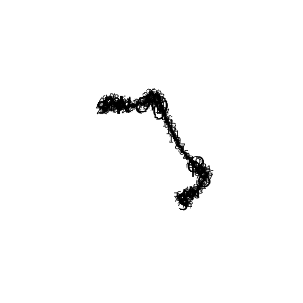 O=C(CCCCCCCCCCCCCCCCC(=O)Oc1ccc2ccc(OCCCCN3CCN(c4cccc5sccc45)CC3)cc2n1)Oc1ccc2ccc(OCCCCN3CCN(c4cccc5sccc45)CC3)cc2n1